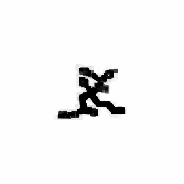 C=CCC[C@](CC)(CC(=O)OC)N[S@+]([O-])C(C)(C)C